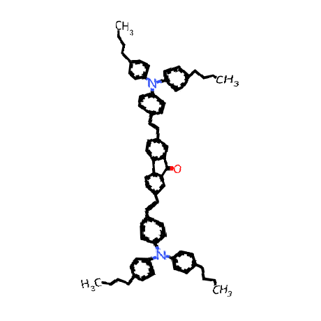 CCCCc1ccc(N(c2ccc(/C=C/c3ccc4c(c3)C(=O)c3cc(/C=C/c5ccc(N(c6ccc(CCCC)cc6)c6ccc(CCCC)cc6)cc5)ccc3-4)cc2)c2ccc(CCCC)cc2)cc1